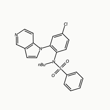 CCCCN(c1ccc(Cl)cc1-n1ccc2cnccc21)S(=O)(=O)c1ccccc1